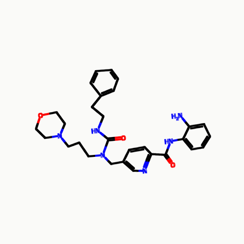 Nc1ccccc1NC(=O)c1ccc(CN(CCCN2CCOCC2)C(=O)NCCc2ccccc2)cn1